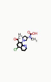 CC(=O)c1cc(Cl)c2cccnc2c1N1CC[C@H](N(C)C(=O)O)C1